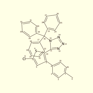 Cc1ccc(-c2cc(Cl)sc2-c2nnnn2C(c2ccccc2)(c2ccccc2)c2ccccc2)cc1